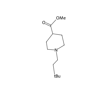 COC(=O)C1CCN(CCC(C)(C)C)CC1